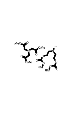 CCN(CCOC(=O)OC(C)(C)C)CCOC(=O)OC(C)(C)C.COC(=O)CN(CC(=O)OC)CC(=O)OC